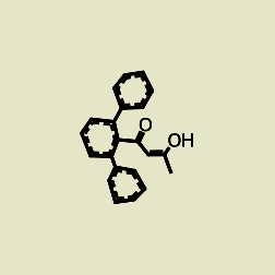 C/C(O)=C/C(=O)c1c(-c2ccccc2)cccc1-c1ccccc1